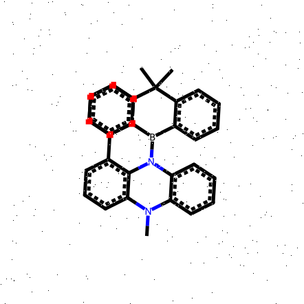 CN1c2ccccc2N(B2c3ccccc3C(C)(C)c3ccccc32)c2c(-c3ccccc3)cccc21